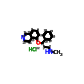 CNCC[C@H](Oc1cccc2cnccc12)c1ccccc1.Cl